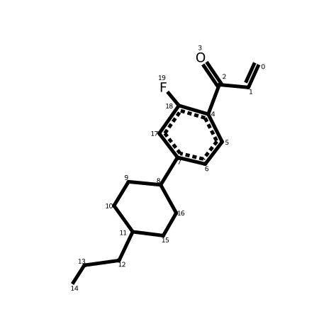 C=CC(=O)c1ccc(C2CCC(CCC)CC2)cc1F